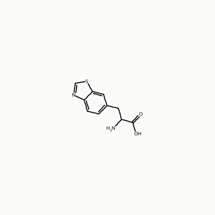 NC(Cc1ccc2ncsc2c1)C(=O)O